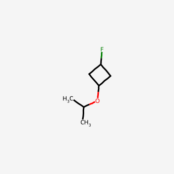 CC(C)OC1CC(F)C1